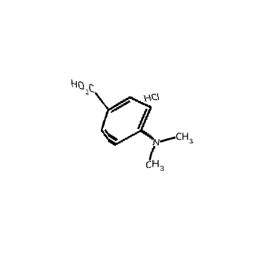 CN(C)c1ccc(C(=O)O)cc1.Cl